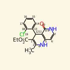 CCOC(=O)C1=C(C)Nc2cc[nH]c(=O)c2C1c1ccccc1Cl